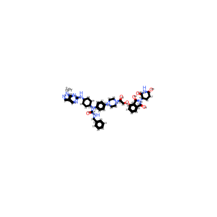 CCCn1ncc2cnc(NC3CCC(N(C(=O)NCc4ccccc4)c4ccc(N5CCN(C(=O)COc6cccc7c6C(=O)N(C6CCC(=O)NC6=O)C7=O)CC5)cc4)CC3)nc21